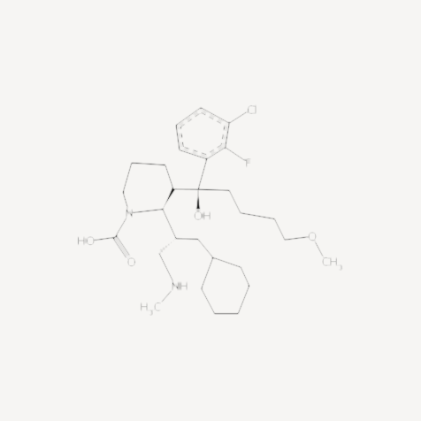 CNC[C@@H](CC1CCCCC1)[C@@H]1C([C@@](O)(CCCCOC)c2cccc(Cl)c2F)CCCN1C(=O)O